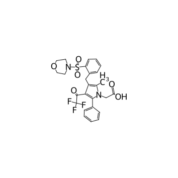 Cc1c(Cc2ccccc2S(=O)(=O)N2CCOCC2)c(C(=O)C(F)(F)F)c(-c2ccccc2)n1CC(=O)O